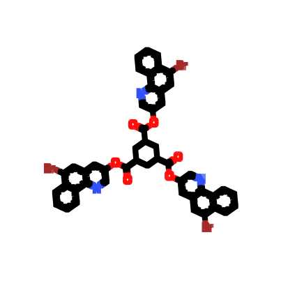 O=C(Oc1cnc2c(c1)cc(Br)c1ccccc12)C1CC(C(=O)Oc2cnc3c(c2)cc(Br)c2ccccc23)CC(C(=O)Oc2cnc3c(c2)cc(Br)c2ccccc23)C1